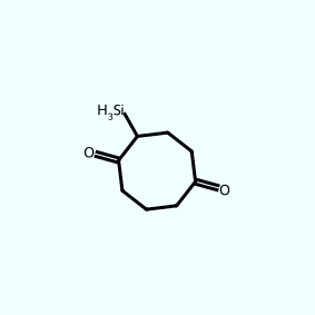 O=C1CCCC(=O)C([SiH3])CC1